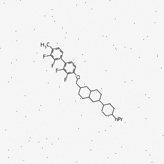 CCCC1CCC(C2CCC3CC(COc4ccc(-c5ccc(C)c(F)c5F)c(F)c4F)CCC3C2)CC1